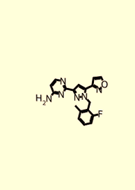 Cc1cccc(F)c1Cn1nc(-c2nccc(N)n2)cc1-c1ccon1